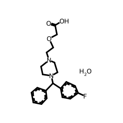 O.O=C(O)COCCN1CCN(C(c2ccccc2)c2ccc(F)cc2)CC1